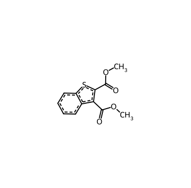 COC(=O)c1sc2ccccc2c1C(=O)OC